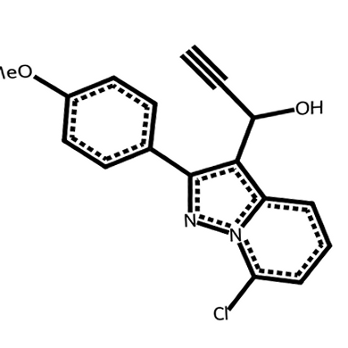 C#CC(O)c1c(-c2ccc(OC)cc2)nn2c(Cl)cccc12